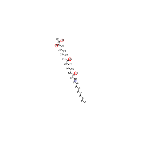 CCCCCCCCC/C=C/CC(=O)CCCCCC(=O)CCCCCCC(=O)C(C)=O